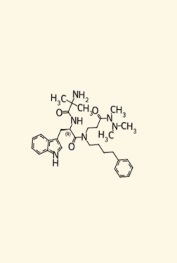 CN(C)N(C)C(=O)CCN(CCCCc1ccccc1)C(=O)[C@@H](Cc1c[nH]c2ccccc12)NC(=O)C(C)(C)N